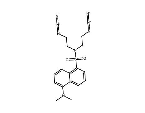 CN(C)c1cccc2c(S(=O)(=O)N(CCN=[N+]=[N-])CCN=[N+]=[N-])cccc12